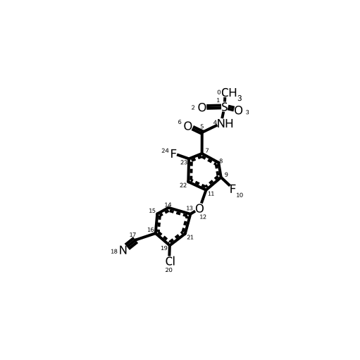 CS(=O)(=O)NC(=O)c1cc(F)c(Oc2ccc(C#N)c(Cl)c2)cc1F